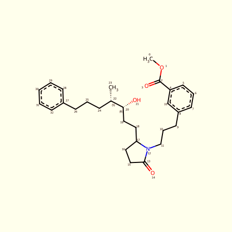 COC(=O)c1cccc(CCCN2C(=O)CCC2CC[C@@H](O)[C@@H](C)CCCc2ccccc2)c1